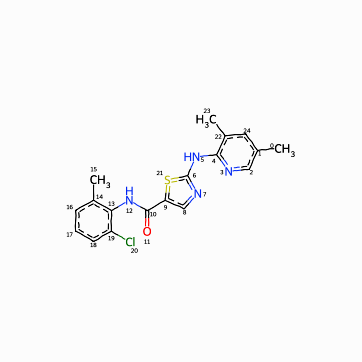 Cc1cnc(Nc2ncc(C(=O)Nc3c(C)cccc3Cl)s2)c(C)c1